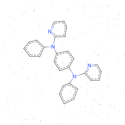 c1ccc(N(c2ccc(N(c3ccccc3)c3ccccn3)cc2)c2ccccn2)cc1